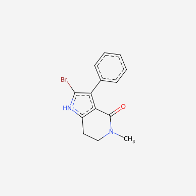 CN1CCc2[nH]c(Br)c(-c3ccccc3)c2C1=O